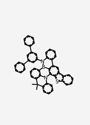 CC1(C)c2ccccc2N2c3c(cccc31)B1c3c(cc4c(sc5ccccc54)c32)-c2ccccc2N1c1cc(-c2ccccc2)cc(-c2ccccc2)c1